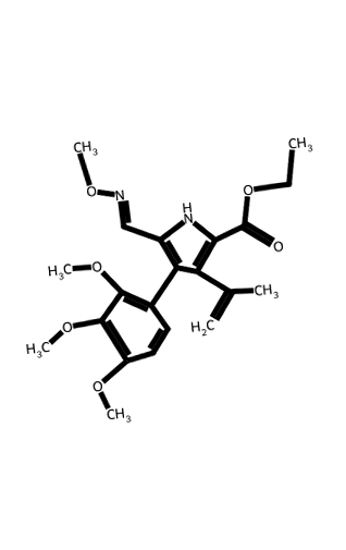 C=C(C)c1c(C(=O)OCC)[nH]c(/C=N/OC)c1-c1ccc(OC)c(OC)c1OC